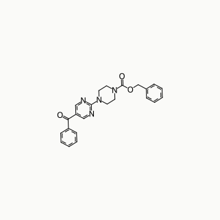 O=C(c1ccccc1)c1cnc(N2CCN(C(=O)OCc3ccccc3)CC2)nc1